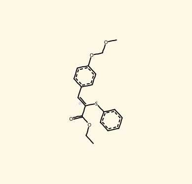 CCOC(=O)/C(=C/c1ccc(OCOC)cc1)Sc1ccccc1